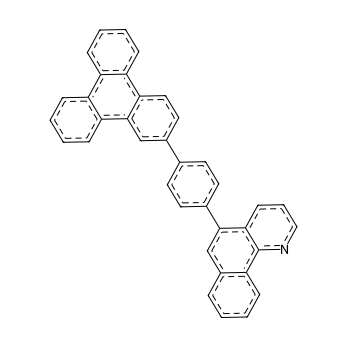 c1ccc2c(c1)cc(-c1ccc(-c3ccc4c5ccccc5c5ccccc5c4c3)cc1)c1cccnc12